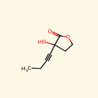 CCC#CC1(O)CCOC1=O